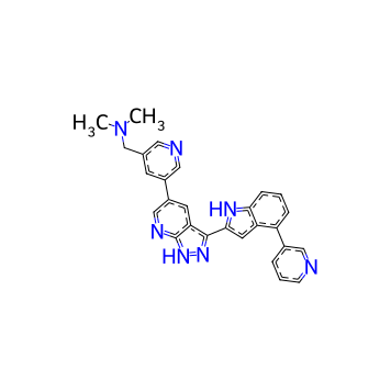 CN(C)Cc1cncc(-c2cnc3[nH]nc(-c4cc5c(-c6cccnc6)cccc5[nH]4)c3c2)c1